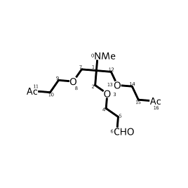 CNC(COCCC=O)(COCCC(C)=O)COCCC(C)=O